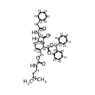 CN(C)CCNC(=O)OCC1=CS[C@H]2C(NC(=O)Cc3ccccc3)C(=O)N2C1C(=O)OC(c1ccccc1)c1ccccc1